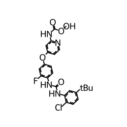 CC(C)(C)c1ccc(Cl)c(NC(=O)Nc2ccc(Oc3ccnc(NC(=O)OO)c3)cc2F)c1